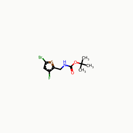 CC(C)(C)OC(=O)NCc1sc(Br)cc1F